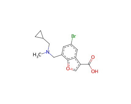 CN(Cc1cc(Br)cc2c(C(=O)O)coc12)CC1CC1